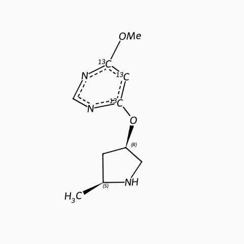 CO[13c]1[13cH][13c](O[C@H]2CN[C@@H](C)C2)ncn1